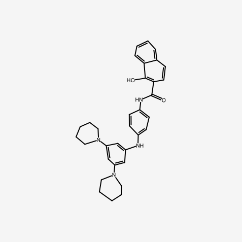 O=C(Nc1ccc(Nc2cc(N3CCCCC3)cc(N3CCCCC3)c2)cc1)c1ccc2ccccc2c1O